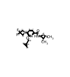 C[C@@H]1C(NC(=O)c2ccc(N3CC(F)(F)C3)c(OCC3CC3)n2)S[C@@H]1C